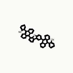 N#Cc1ccccc1C1=c2ccccc2=C(c2cccc3c2oc2ccc(-c4c5ccccc5c(-c5ccccc5C#N)c5ccccc45)cc23)C2C=CC=CC12